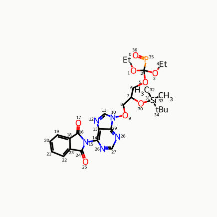 CCOC(OCC)(OCC(COn1cnc2c(N3C(=O)c4ccccc4C3=O)ncnc21)O[Si](C)(C)C(C)(C)C)P=O